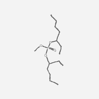 CCCCC(CC)OP(=O)(OC)OC(CC)CCCC